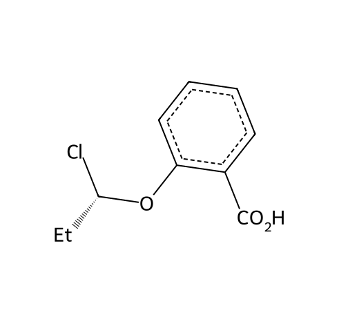 CC[C@H](Cl)Oc1ccccc1C(=O)O